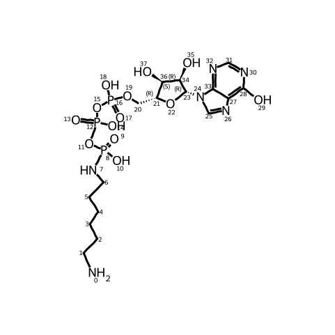 NCCCCCCNP(=O)(O)OP(=O)(O)OP(=O)(O)OC[C@H]1O[C@@H](n2cnc3c(O)ncnc32)[C@H](O)[C@@H]1O